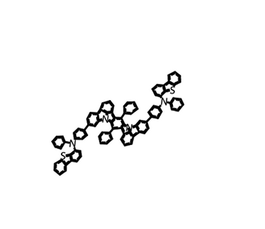 c1ccc(-c2c3c4cccc5c6ccc(-c7ccc(N(c8ccccc8)c8cccc9c8sc8ccccc89)cc7)cc6n(c3c(-c3ccccc3)c3c6cccc7c8ccc(-c9ccc(N(c%10ccccc%10)c%10cccc%11c%10sc%10ccccc%10%11)cc9)cc8n(c23)c76)c54)cc1